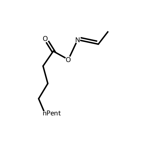 CC=NOC(=O)CCCCCCCC